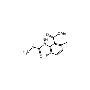 COC(=O)c1c(C)ccc(F)c1N(N)C(=O)NN